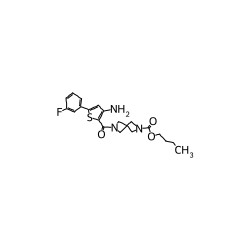 CCCCOC(=O)N1CC2(C1)CN(C(=O)c1sc(-c3cccc(F)c3)cc1N)C2